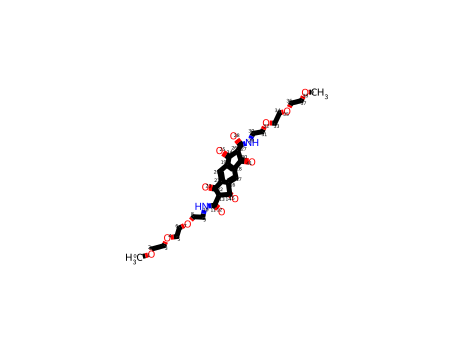 COCCOCCOCCNC(=O)C1C(=O)c2cc3c(cc2C1=O)C(=O)C(C(=O)NCCOCCOCCOC)C3=O